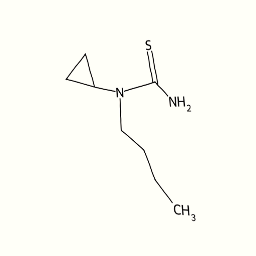 CCCCN(C(N)=S)C1CC1